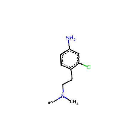 CC(C)N(C)CCc1ccc(N)cc1Cl